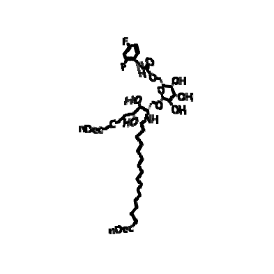 CCCCCCCCCCCCCCCCCCCCCCCCCCN[C@@H](CO[C@@H]1O[C@H](COC(=O)Nc2ccc(F)cc2F)[C@H](O)[C@H](O)[C@H]1O)[C@H](O)[C@H](O)CCCCCCCCCCCCCC